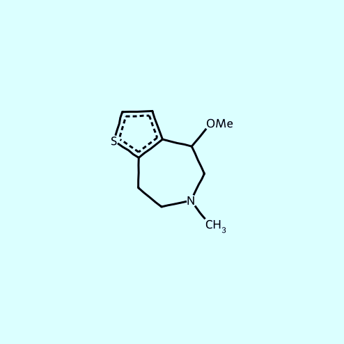 COC1CN(C)CCc2sccc21